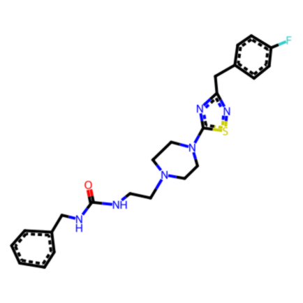 O=C(NCCN1CCN(c2nc(Cc3ccc(F)cc3)ns2)CC1)NCc1ccccc1